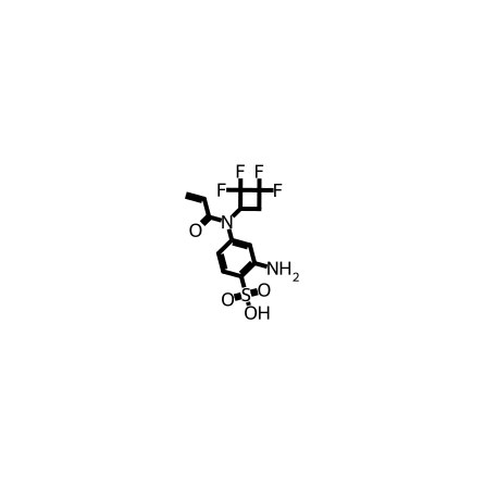 C=CC(=O)N(c1ccc(S(=O)(=O)O)c(N)c1)C1CC(F)(F)C1(F)F